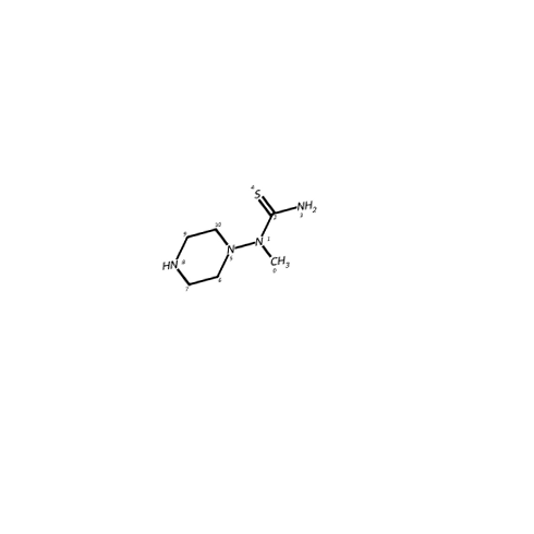 CN(C(N)=S)N1CCNCC1